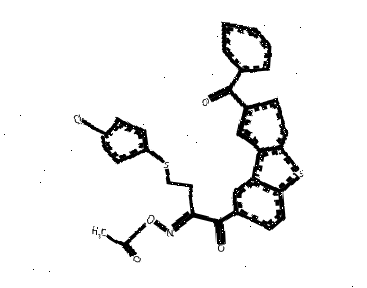 CC(=O)O/N=C(\CCSc1ccc(Cl)cc1)C(=O)c1ccc2sc3ccc(C(=O)c4ccccc4)cc3c2c1